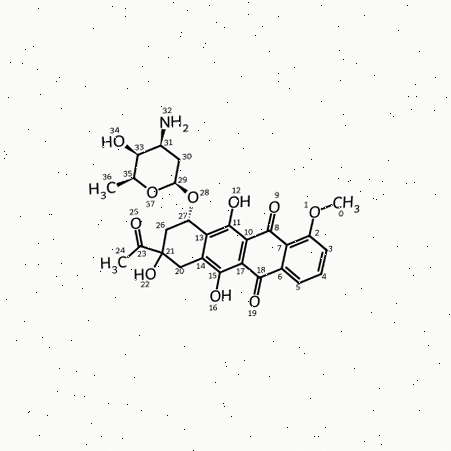 COc1cccc2c1C(=O)c1c(O)c3c(c(O)c1C2=O)CC(O)(C(C)=O)C[C@@H]3O[C@@H]1C[C@H](N)[C@H](O)[C@H](C)O1